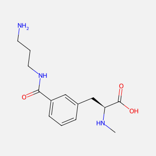 CN[C@@H](Cc1cccc(C(=O)NCCCN)c1)C(=O)O